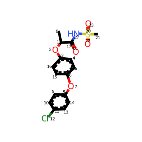 CC(Oc1ccc(Oc2ccc(Cl)cc2)cc1)C(=O)NS(C)(=O)=O